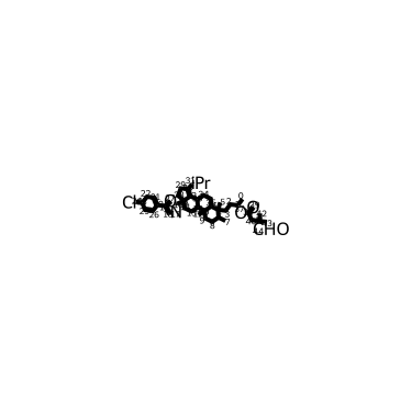 CC(CCC1(C)C(C)CCC2(C)C3CCC4(c5ncc(C6=CCC(Cl)C=C6)o5)CCC(C(C)C)=C4C3CCC12)OC(=O)CC(C)(C)C=O